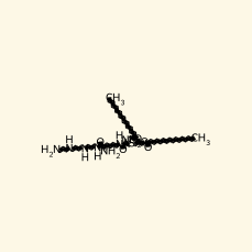 CCCCCCCCCCCCCCCC(=O)OCC(CSC[C@H](N)C(=O)NCCCC[C@H](N)C(=O)NCCCNCCCCNCCCN)OC(=O)CCCCCCCCCCCCCCC